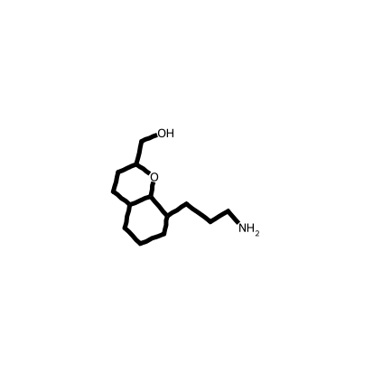 NCCCC1CCCC2CCC(CO)OC12